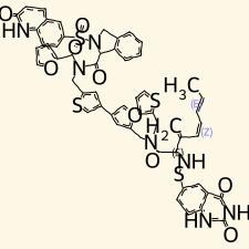 C=C(/C=C\C=C\C)[C@H](NSc1ccc2[nH]c(=O)[nH]c(=O)c2c1)C(=O)N(Cc1cc(-c2csc(CN(Cc3ccco3)C(=O)C3c4ccccc4CN3S(=O)(=O)c3ccc4[nH]c(=O)ccc4c3)c2)co1)Cc1cccs1